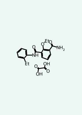 CCOc1c(C(N)=O)cccc1C(=O)Nc1ccccc1CC.O=C(O)C(=O)O